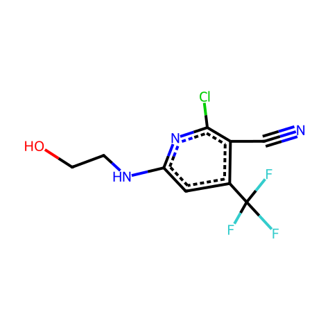 N#Cc1c(C(F)(F)F)cc(NCCO)nc1Cl